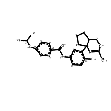 NC1=NC2(c3cc(NC(=O)c4ccc(OC(F)F)cn4)ccc3F)CCCC2CO1